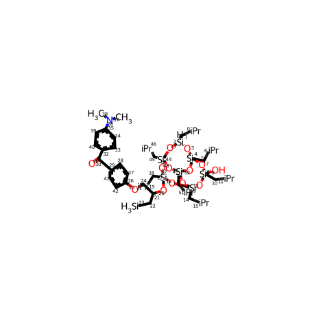 CC(C)C[SiH]1O[Si]2(CC(C)C)O[Si](O)(CC(C)C)O[Si]3(CC(C)C)O[Si](CC(C)C)(OC(C[SiH3])COc4ccc(C(=O)c5ccc(N(C)C)cc5)cc4)O[Si](CC(C)C)(O1)O[Si](CC(C)C)(O2)O3